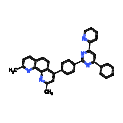 Cc1ccc2ccc3c(-c4ccc(-c5nc(-c6ccccc6)cc(-c6ccccn6)n5)cc4)cc(C)nc3c2n1